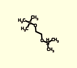 C[SiH](C)OCCO[Si](C)(C)C